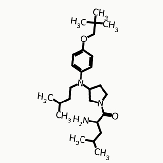 CC(C)CCN(c1ccc(OCC(C)(C)C)cc1)C1CCN(C(=O)C(N)CC(C)C)C1